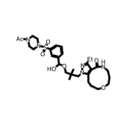 CCc1nn(CC(C)(C)COC(O)c2cccc(S(=O)(=O)N3CCN(C(C)=O)CC3)c2)c2c1C(=O)NCCCOCCC2